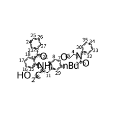 CCCCC(=O)N(CCOc1ccc(C[C@H](Nc2ccccc2C(=O)c2ccccc2)C(=O)O)cc1)c1ccccc1